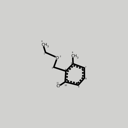 CCOCc1c(C)cccc1Cl